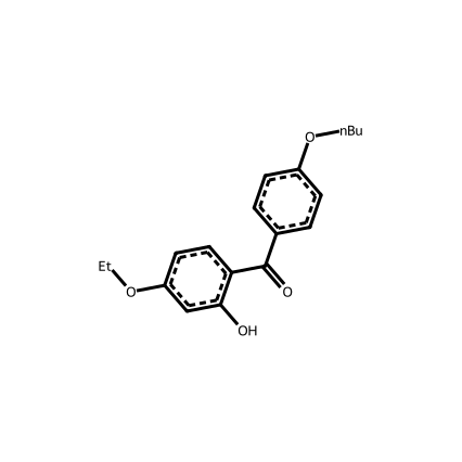 CCCCOc1ccc(C(=O)c2ccc(OCC)cc2O)cc1